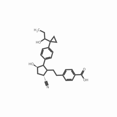 CCC(O)C1(c2ccc(C3C(CCc4ccc(C(=O)O)cc4)[C@H](C#N)C[C@H]3O)cc2)CC1